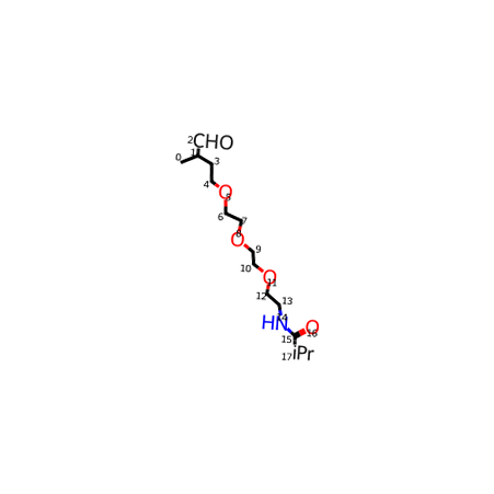 CC(C=O)CCOCCOCCOCCNC(=O)C(C)C